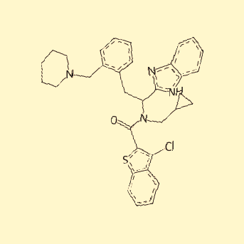 O=C(c1sc2ccccc2c1Cl)N(CC1CC1)C(Cc1ccccc1CN1CCCCC1)c1nc2ccccc2[nH]1